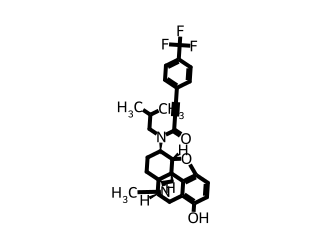 CC(C)CN(C(=O)C#Cc1ccc(C(F)(F)F)cc1)[C@@H]1CC[C@H]2[C@H]3Cc4c(O)ccc5c4[C@@]2(CCN3C)[C@H]1O5